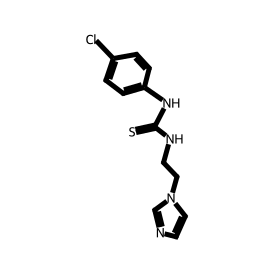 S=C(NCCn1ccnc1)Nc1ccc(Cl)cc1